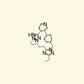 CCCCCc1nc(CC)nn1Cc1ccc(-c2cnccc2-c2nnn[nH]2)cc1